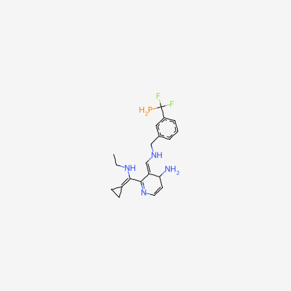 CCNC(C1=NC=CC(N)/C1=C\NCc1cccc(C(F)(F)P)c1)=C1CC1